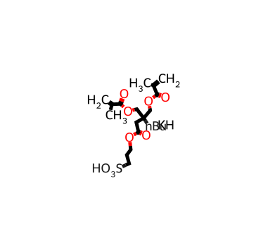 C=C(C)C(=O)OCC(CCCC)(COC(=O)C(=C)C)CC(=O)OCCCS(=O)(=O)O.[KH]